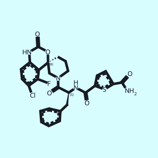 NC(=O)c1ccc(C(=O)N[C@@H](Cc2ccccc2)C(=O)N2CCC[C@@]3(C2)OC(=O)Nc2ccc(Cl)c(F)c23)s1